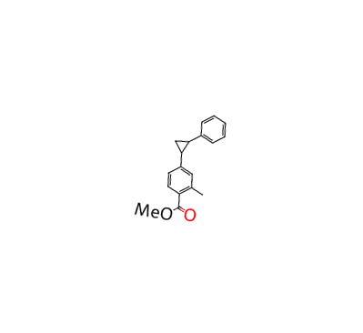 COC(=O)c1ccc(C2CC2c2ccccc2)cc1C